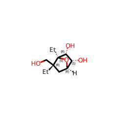 CC[C@]1(CO)C[C@H]2O[C@]1(CC)[C@H](O)[C@@H]2O